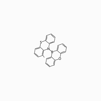 Cc1cccc2c1N(B1c3ccccc3Oc3ccccc31)c1ccccc1S2